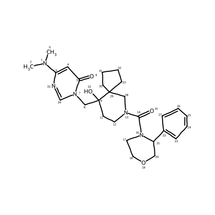 CN(C)c1cc(=O)n(CC2(O)CCN(C(=O)N3CCOCC3c3ccccc3)CC23CCCC3)cn1